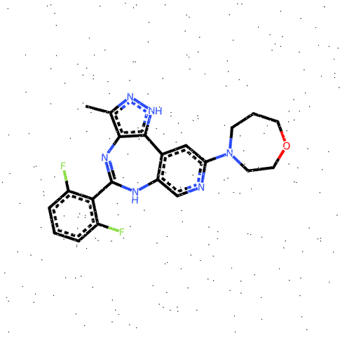 Cc1n[nH]c2c1N=C(c1c(F)cccc1F)Nc1cnc(N3CCCOCC3)cc1-2